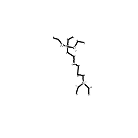 CCO[Si](CC)(CCOCCCN(CC)CC)OCC